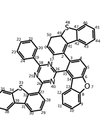 C1=CC(c2ccc3oc4ccccc4c3c2-c2nc(-c3ccccc3)nc(-c3cccc4c3sc3ccccc34)n2)=C2c3ccccc3SC2C1